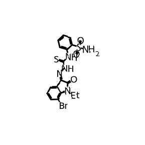 CCN1C(=O)C(=NNC(=S)Nc2ccccc2S(N)(=O)=O)c2cccc(Br)c21